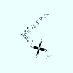 O.O.O.O.O.O=S(=O)([O-])[O-].[Cl-].[Cl-].[Cl-].[Cr+3].[Cu+2]